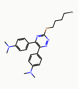 CC(C)CCCCSc1nnc(-c2ccc(N(C)C)cc2)c(-c2ccc(N(C)C)cc2)n1